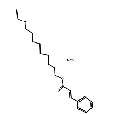 CCCCCCCCCCCCOC(=O)C=Cc1ccccc1.[NaH]